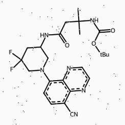 CC(C)(CC(=O)NC1CN(c2ccc(C#N)c3nccnc23)CC(F)(F)C1)NC(=O)OC(C)(C)C